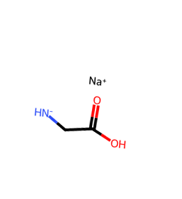 [NH-]CC(=O)O.[Na+]